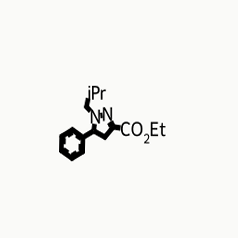 CCOC(=O)C1=NN(CC(C)C)C(c2ccccc2)C1